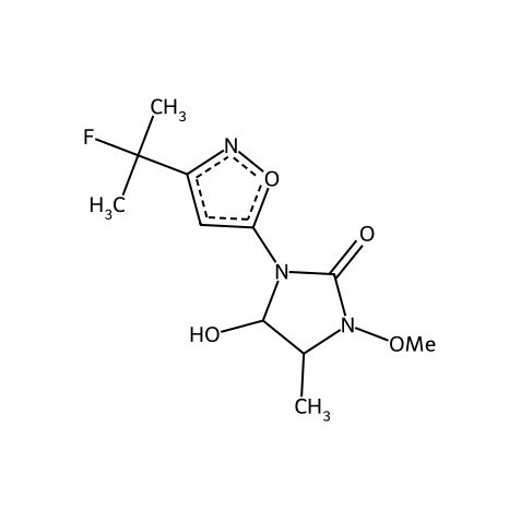 CON1C(=O)N(c2cc(C(C)(C)F)no2)C(O)C1C